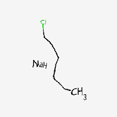 CCCCCl.[NaH]